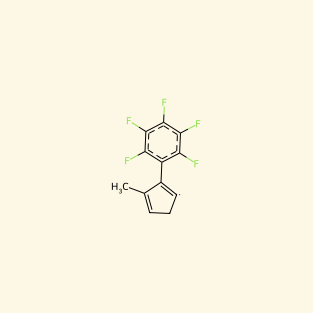 CC1=CC[C]=C1c1c(F)c(F)c(F)c(F)c1F